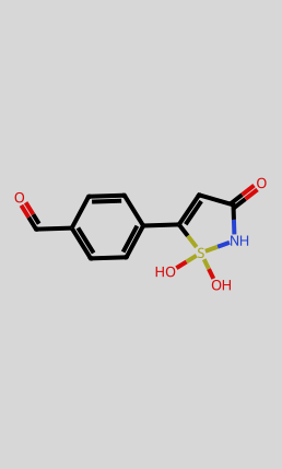 O=Cc1ccc(C2=CC(=O)NS2(O)O)cc1